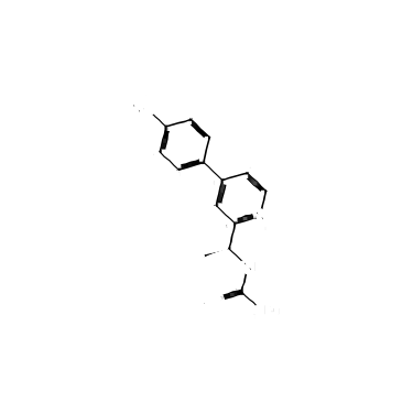 C[C@H](NC(=O)C(C)(C)C)c1cc(-c2ccc(C#N)cc2)ccn1